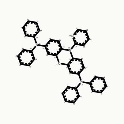 c1ccc(N(c2ccccc2)c2ccc3c(c2)Oc2cc(N(c4ccccc4)c4ccccc4)ccc2N3c2ccccn2)cc1